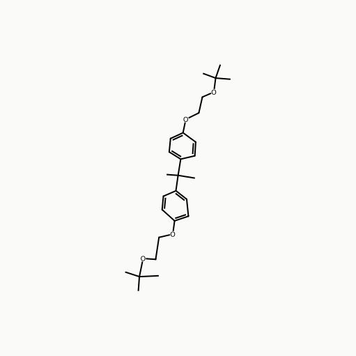 CC(C)(C)OCCOc1ccc(C(C)(C)c2ccc(OCCOC(C)(C)C)cc2)cc1